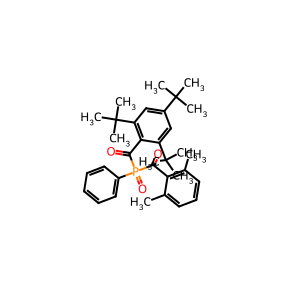 Cc1cccc(C)c1C(=O)P(=O)(C(=O)c1c(C(C)(C)C)cc(C(C)(C)C)cc1C(C)(C)C)c1ccccc1